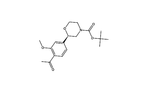 COc1cc([C@@H]2CN(C(=O)OC(C)(C)C)CCO2)ccc1C(C)=O